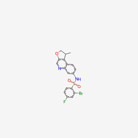 CC1COc2cnc3cc(NS(=O)(=O)c4ccc(F)cc4Br)ccc3c21